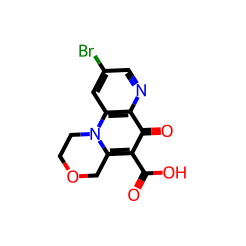 O=C(O)c1c2n(c3cc(Br)cnc3c1=O)CCOC2